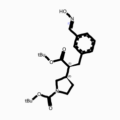 CC(C)(C)OC(=O)[C@@H](Cc1cccc(/C=N/O)c1)[C@H]1CCN(C(=O)OC(C)(C)C)C1